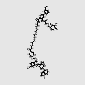 CCc1cccc(-c2cnc(C(=O)NCCOCCOCCOCCOCCC(=O)N3CCN(CC[C@H](NC(=O)C4(N)CCN(c5ncnc6[nH]ccc56)CC4)c4ccc(Cl)cc4)CC3)c(NC(=O)CNCC3CCN(C)C(=O)C3)c2)c1